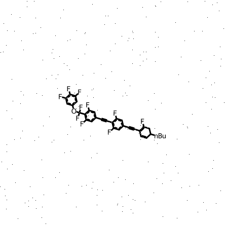 CCCCC1C=CC(C#Cc2cc(F)c(C#Cc3cc(F)c(C(F)(F)Oc4cc(F)c(F)c(F)c4)c(F)c3)c(F)c2)=C(F)C1